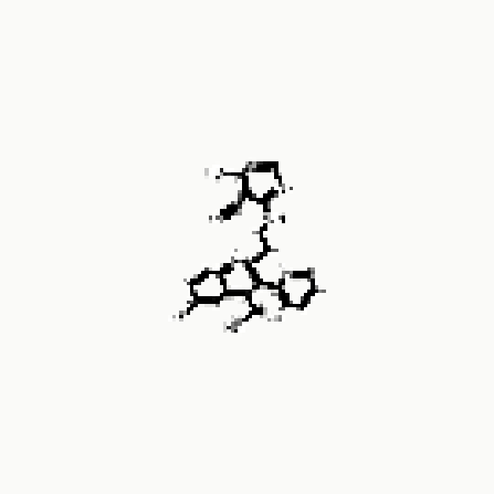 N#Cc1c(N)ncnc1NCCc1nc2ccc(F)cc2c(C(=O)O)c1-c1ccccn1